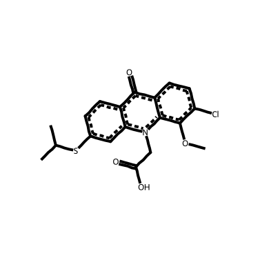 COc1c(Cl)ccc2c(=O)c3ccc(SC(C)C)cc3n(CC(=O)O)c12